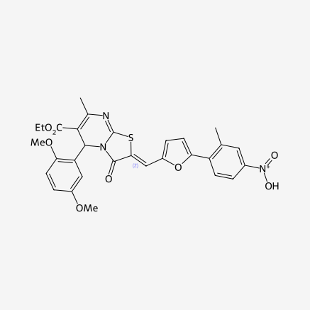 CCOC(=O)C1=C(C)N=c2s/c(=C\c3ccc(-c4ccc([N+](=O)O)cc4C)o3)c(=O)n2C1c1cc(OC)ccc1OC